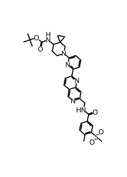 Cc1ccc(C(=O)NCc2cc3nc(-c4cccc(N5CCC(NC(=O)OC(C)(C)C)C6(CC6)C5)n4)ccc3cn2)cc1S(C)(=O)=O